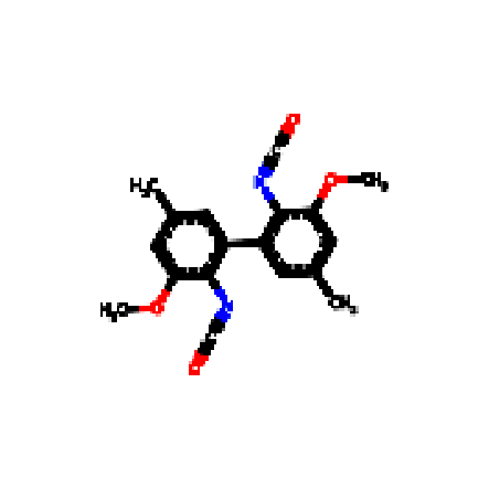 COc1cc(C)cc(-c2cc(C)cc(OC)c2N=C=O)c1N=C=O